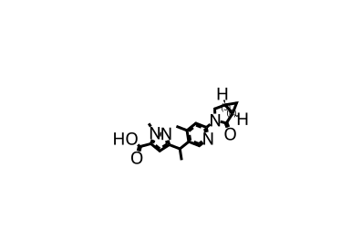 Cc1cc(N2C[C@H]3C[C@H]3C2=O)ncc1C(C)c1cc(C(=O)O)n(C)n1